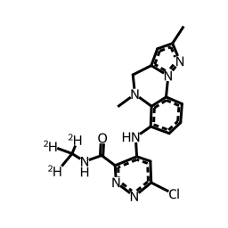 [2H]C([2H])([2H])NC(=O)c1nnc(Cl)cc1Nc1cccc2c1N(C)Cc1cc(C)nn1-2